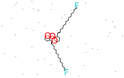 FCCCCCCCCCCCCC=CC1CCCOC1OC1OCCCC1C=CCCCCCCCCCCCCF